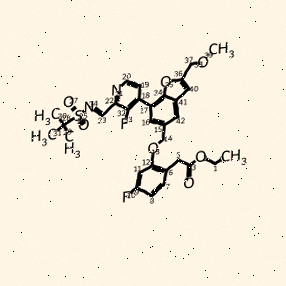 CCOC(=O)Cc1ccc(F)cc1OCc1cc(-c2ccnc(C=NS(=O)(=O)C(C)(C)C)c2F)c2oc(COC)cc2c1